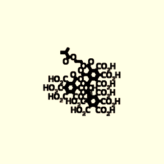 C=C(C)C(=O)OCCOC(=O)c1c(C(=O)O)c(C(=O)O)c(C(=O)O)c(C(=O)OC(=O)c2c(C(=O)O)c(C(=O)O)c(C(=O)O)c(C(=O)O)c2C(=O)O)c1C(=O)OC(=O)c1c(C(=O)O)c(C(=O)O)c(C(=O)O)c(C(=O)O)c1C(=O)O